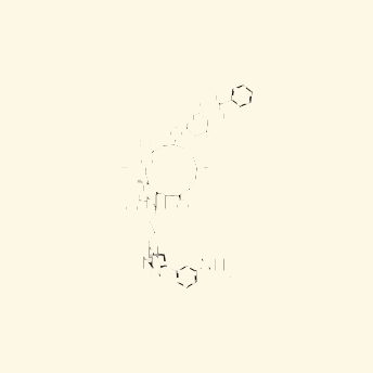 CC[C@H]1OC(=O)[C@H](C)[C@@H](O[C@H]2C[C@H](C)[C@@H](OC(=O)c3ccccc3)[C@H](C)O2)[C@H](C)C[C@@H](C)C[C@@H](C)C(=O)[C@H](C)[C@@H]2N(CCCCn3cc(-c4cccc(N)c4)nn3)C(=O)O[C@@]21C